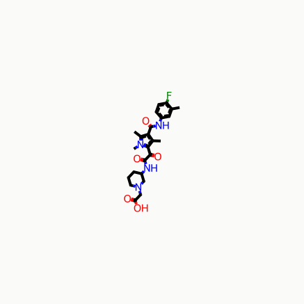 Cc1cc(NC(=O)c2c(C)c(C(=O)C(=O)NC3CCCN(CC(=O)O)C3)n(C)c2C)ccc1F